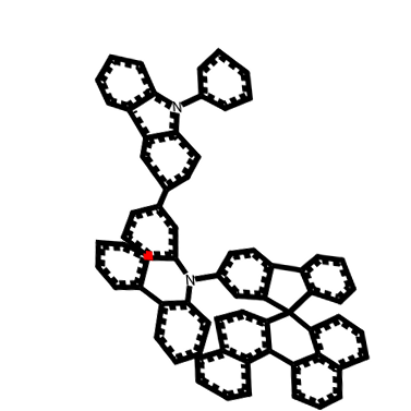 c1ccc(-c2ccccc2N(c2cccc(-c3ccc4c(c3)c3ccccc3n4-c3ccccc3)c2)c2ccc3c(c2)C2(c4ccccc4-3)c3ccc4ccccc4c3-c3cccc4cccc2c34)cc1